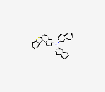 c1ccc2cc(N(c3ccc4ccccc4c3)c3ccc4c(ccc5sc6ccccc6c54)c3)ccc2c1